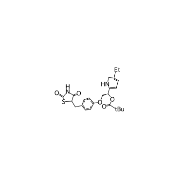 CCC1=CC=C([C@H](COc2ccc(CC3SC(=O)NC3=O)cc2)OC(=O)C(C)(C)C)NC1